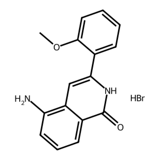 Br.COc1ccccc1-c1cc2c(N)cccc2c(=O)[nH]1